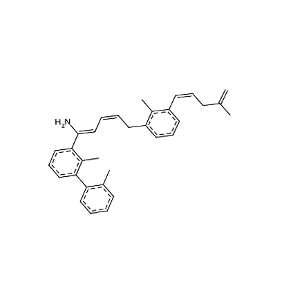 C=C(C)C/C=C\c1cccc(C/C=C\C=C(/N)c2cccc(-c3ccccc3C)c2C)c1C